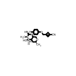 C[C@H]1C[C@@H]2[C@](c3cc(OCC45CC(C#N)(C4)C5)ccc3F)(CO1)NC(=N)N(C)S2(O)O